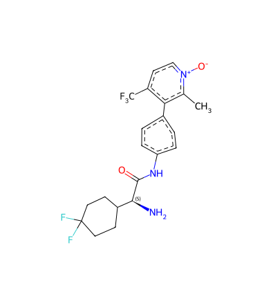 Cc1c(-c2ccc(NC(=O)[C@@H](N)C3CCC(F)(F)CC3)cc2)c(C(F)(F)F)cc[n+]1[O-]